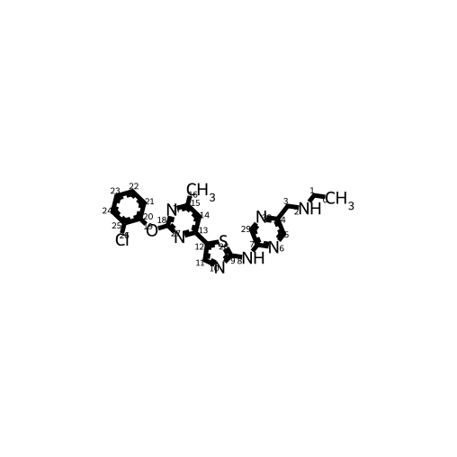 CCNCc1cnc(Nc2ncc(-c3cc(C)nc(Oc4ccccc4Cl)n3)s2)cn1